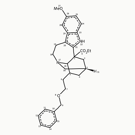 CCOC(=O)C12C[C@@H]3CC(CCOCc4ccccc4)C1N(CCc1c2[nH]c2ccc(OC)cc12)C3